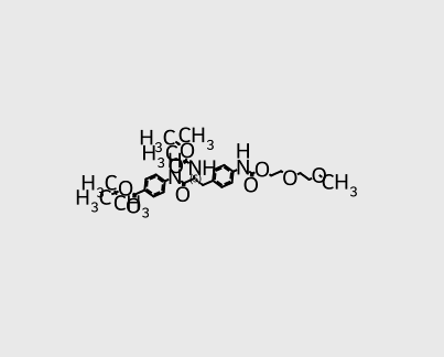 COCCOCCOC(=O)Nc1ccc(C[C@H](NC(=O)OC(C)(C)C)C(=O)Nc2ccc(C(=O)OC(C)(C)C)cc2)cc1